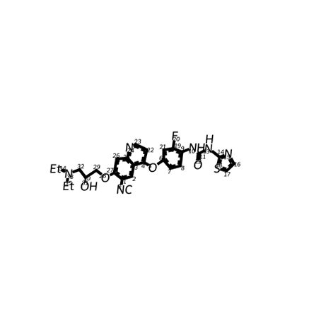 [C-]#[N+]c1cc2c(Oc3ccc(NC(=O)Nc4nccs4)c(F)c3)ccnc2cc1OC[C@H](O)CN(CC)CC